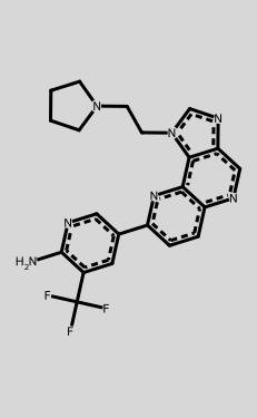 Nc1ncc(-c2ccc3ncc4ncn(CCN5CCCC5)c4c3n2)cc1C(F)(F)F